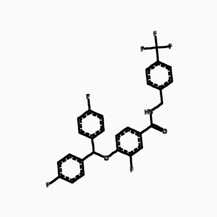 O=C(NCc1ccc(C(F)(F)F)cc1)c1ccc(OC(c2ccc(F)cc2)c2ccc(F)cc2)c(F)c1